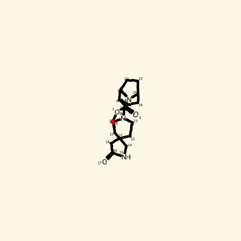 COC(=O)N1C2C=C(N3CCC4(CC3)CNC(=O)C4)CC1CC2